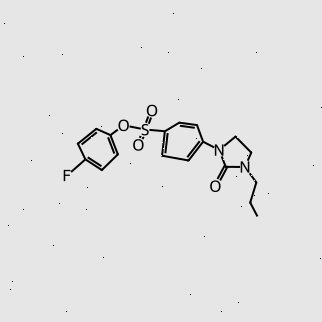 CCCN1CCN(c2ccc(S(=O)(=O)Oc3ccc(F)cc3)cc2)C1=O